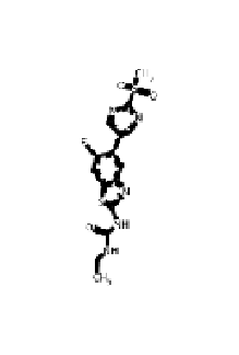 CCNC(=O)Nc1nc2cc(-c3cnc(S(C)(=O)=O)nc3)c(F)cc2s1